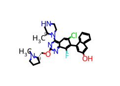 C[C@H]1CNCCN1c1nc(OC[C@@H]2CCCN2C)nc2c(F)c(-c3cc(O)cc4ccccc34)c(Cl)cc12